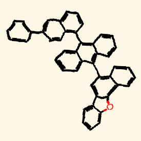 c1ccc(-c2ccc3c(-c4c5ccccc5c(-c5cc6c7ccccc7oc6c6ccccc56)c5ccccc45)cccc3c2)cc1